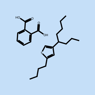 CCCCc1cc(C(CCC)CCCC)cs1.O=C(O)c1ccccc1C(=O)O